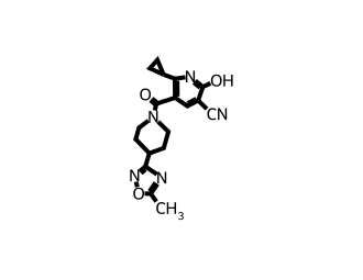 Cc1nc(C2CCN(C(=O)c3cc(C#N)c(O)nc3C3CC3)CC2)no1